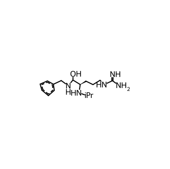 CC(C)N[C@H](CCCNC(=N)N)C(O)NCc1ccccc1